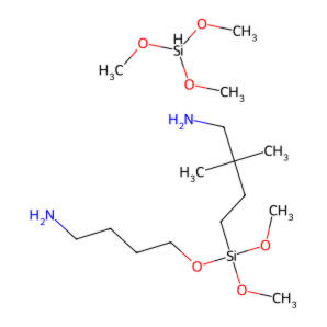 CO[SiH](OC)OC.CO[Si](CCC(C)(C)CN)(OC)OCCCCN